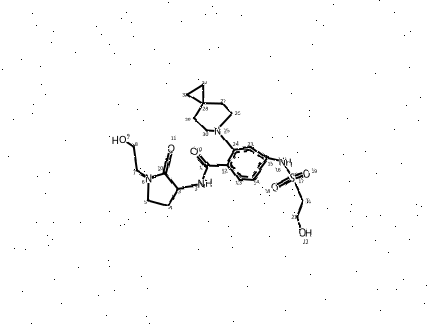 O=C(NC1CCN(CCO)C1=O)c1ccc(NS(=O)(=O)CCO)cc1N1CCC2(CC1)CC2